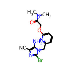 CN(C)C(=O)COc1cccc(Cn2c(Br)nc(C#N)c2N)n1